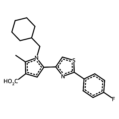 Cc1c(C(=O)O)cc(-c2csc(-c3ccc(F)cc3)n2)n1CC1CCCCC1